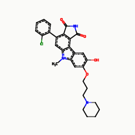 Cn1c2cc(OCCCN3CCCCC3)c(O)cc2c2c3c(c(-c4ccccc4Cl)cc21)C(=O)NC3=O